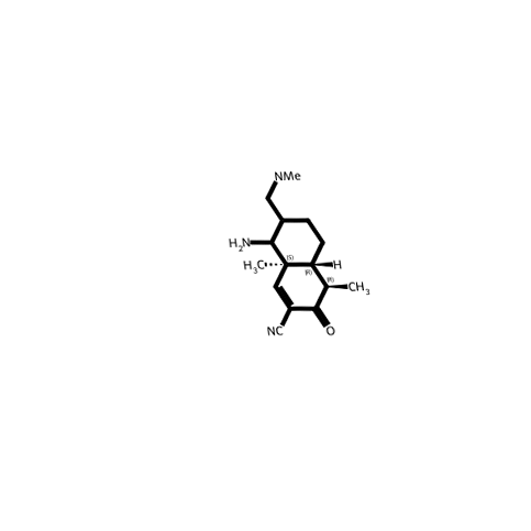 CNCC1CC[C@@H]2[C@@H](C)C(=O)C(C#N)=C[C@@]2(C)C1N